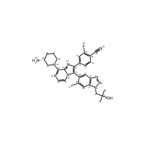 CC(C)(O)Cn1nnc2cc(-c3c(-c4ccc(C#N)c(F)c4)nc4c(N5CCC[C@@H](N)C5)nccn34)c(F)cc21